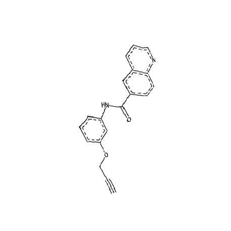 C#CCOc1cccc(NC(=O)c2ccc3ncccc3c2)c1